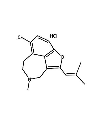 CC(C)=Cc1oc2ccc(Cl)c3c2c1CN(C)CC3.Cl